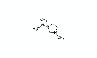 CN1CCB(N(C)C)C1